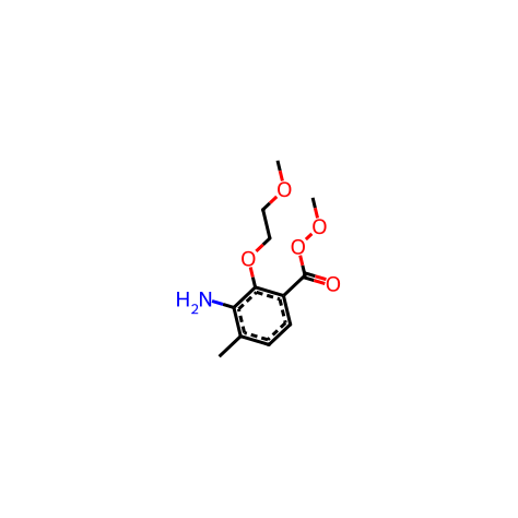 COCCOc1c(C(=O)OOC)ccc(C)c1N